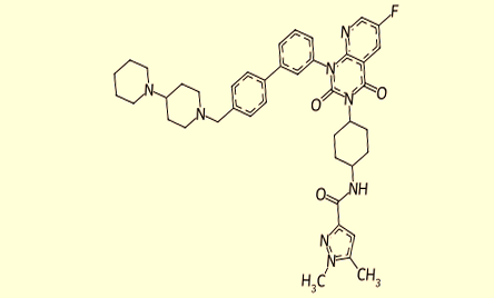 Cc1cc(C(=O)NC2CCC(n3c(=O)c4cc(F)cnc4n(-c4cccc(-c5ccc(CN6CCC(N7CCCCC7)CC6)cc5)c4)c3=O)CC2)nn1C